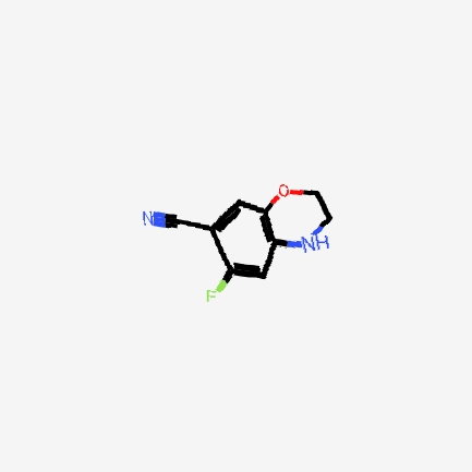 N#Cc1cc2c(cc1F)NCCO2